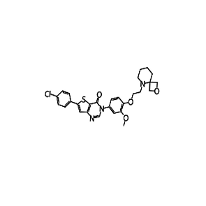 COc1cc(-n2cnc3cc(-c4ccc(Cl)cc4)sc3c2=O)ccc1OCCN1CCCCC12COC2